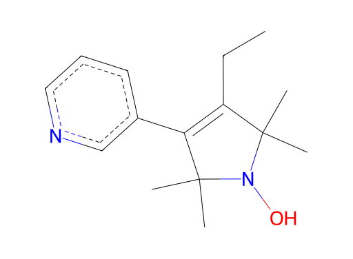 CCC1=C(c2cccnc2)C(C)(C)N(O)C1(C)C